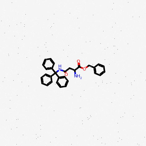 NC(CC(=O)NC(c1ccccc1)(c1ccccc1)c1ccccc1)C(=O)OCc1ccccc1